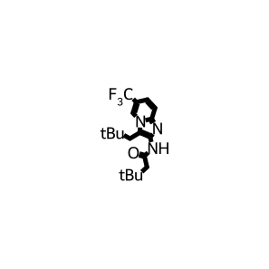 CC(C)(C)CC(=O)Nc1nc2ccc(C(F)(F)F)cn2c1CC(C)(C)C